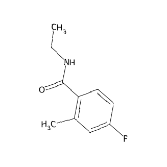 CCNC(=O)c1ccc(F)cc1C